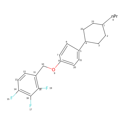 CCCC1CCC(c2ccc(OCc3ccc(F)c(F)c3F)cc2)CC1